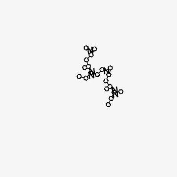 c1ccc(-c2ccc(-c3cc(-c4ccc(-c5cccc(-c6ccc7c8ccccc8n(-c8cccc(-c9cccc(-c%10nc(-c%11cccc(-c%12ccccc%12)c%11)cc(-c%11ccc(-c%12cccc(-c%13ccc%14c%15ccccc%15n(-c%15ccccc%15)c%14c%13)c%12)c%12ccccc%11%12)n%10)c9)c8)c7c6)c5)c5ccccc45)nc(-c4ccccc4)n3)cc2)cc1